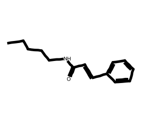 CCCCCNC(=O)C=Cc1ccccc1